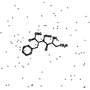 CCCCCN(C(=O)C(N)CC(=O)O)C(Cc1ccccc1)C(=O)OC